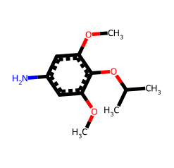 COc1cc(N)cc(OC)c1OC(C)C